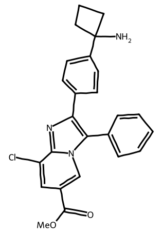 COC(=O)c1cc(Cl)c2nc(-c3ccc(C4(N)CCC4)cc3)c(-c3ccccc3)n2c1